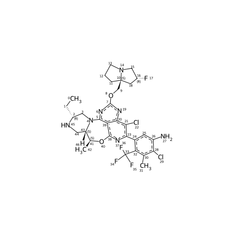 CC[C@@H]1CN2c3nc(OC[C@@]45CCCN4C[C@H](F)C5)nc4c(Cl)c(-c5cc(N)c(Cl)c(C)c5C(F)(F)F)nc(c34)O[C@@H](C)[C@@H]2CN1